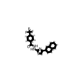 O=C(NNc1nc(-c2ccc3ccccc3c2)cs1)c1ccc(C(F)(F)F)cc1